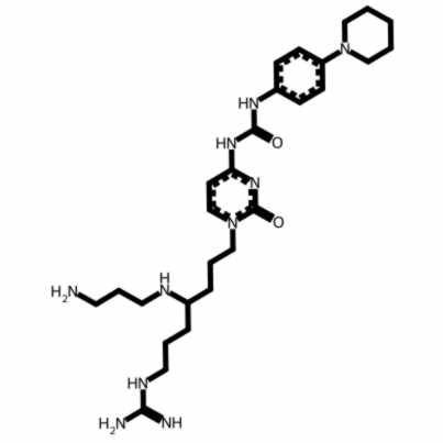 N=C(N)NCCCC(CCCn1ccc(NC(=O)Nc2ccc(N3CCCCC3)cc2)nc1=O)NCCCN